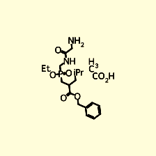 CC(=O)O.CCOP(=O)(CNC(=O)CN)CC(CC(C)C)C(=O)OCc1ccccc1